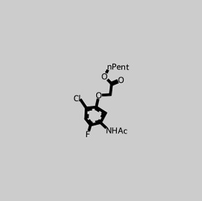 CCCCCOC(=O)COc1cc(NC(C)=O)c(F)cc1Cl